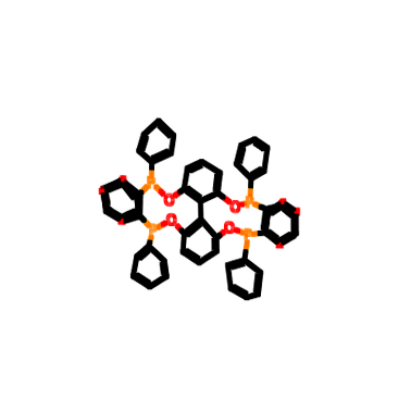 c1ccc(P(Oc2cccc(OP(c3ccccc3)c3ccccc3)c2-c2c(OP(c3ccccc3)c3ccccc3)cccc2OP(c2ccccc2)c2ccccc2)c2ccccc2)cc1